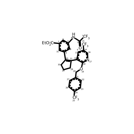 CCOC(=O)c1cc(NC(=O)C(F)(F)F)cc(C2=C(c3cc(C(F)(F)F)cnc3OCc3ccc(C(F)(F)F)cc3)CCC2)c1